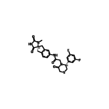 CN1C(=O)NC(=O)[C@@]12Cc1ccc(NC(=O)CN3C(=O)CSC[C@H]3c3cc(F)cc(F)c3)cc1C2